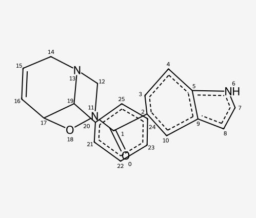 O=C(c1ccc2[nH]ccc2c1)N1CN2CC=CC(O1)C2c1ccccc1